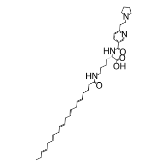 CCC=CCC=CCC=CCC=CCC=CCCCC(=O)NCCCC[C@H](NC(=O)c1ccc(CCN2CCCC2)nc1)C(=O)O